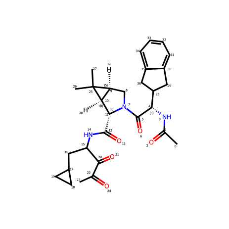 CC(=O)N[C@H](C(=O)N1C[C@H]2[C@@H]([C@H]1C(=O)NC(CC1CC1)C(=O)C(C)=O)C2(C)C)C1Cc2ccccc2C1